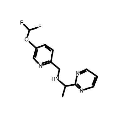 CC(NCc1ccc(OC(F)F)cn1)c1ncccn1